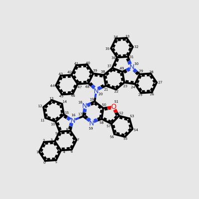 c1ccc2c(c1)ccc1c2c2ccccc2n1-c1nc(-n2c3cc4c5ccccc5n5c6ccccc6c(c3c3ccc6ccccc6c32)c45)c2oc3ccccc3c2n1